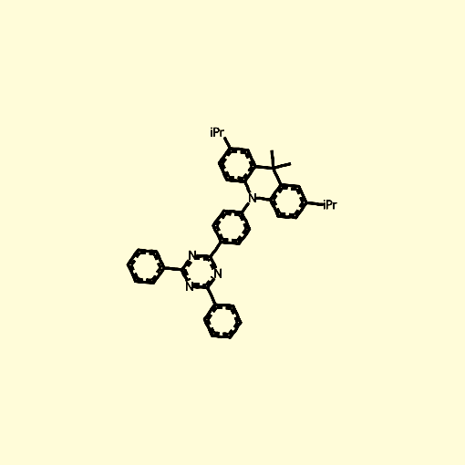 CC(C)c1ccc2c(c1)C(C)(C)c1cc(C(C)C)ccc1N2c1ccc(-c2nc(-c3ccccc3)nc(-c3ccccc3)n2)cc1